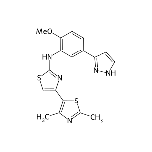 COc1ccc(-c2cc[nH]n2)cc1Nc1nc(-c2sc(C)nc2C)cs1